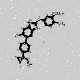 Cc1ccc(Oc2nc3cc(-c4ccc(C5(CO)CC5)cc4)c(Cl)cc3[nH]2)cc1C(=O)O